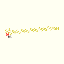 CCOS(=S)(=S)SSSSSSSSSSSSSSSSSSSSS